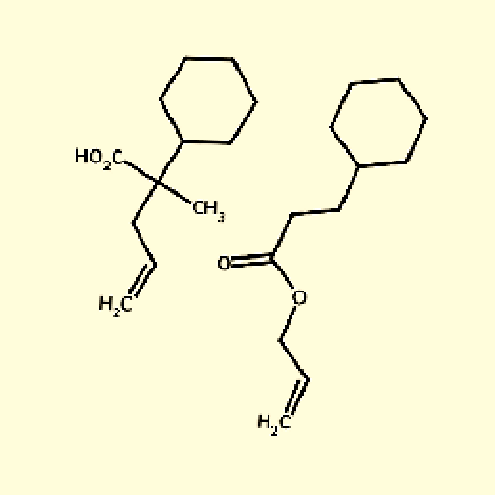 C=CCC(C)(C(=O)O)C1CCCCC1.C=CCOC(=O)CCC1CCCCC1